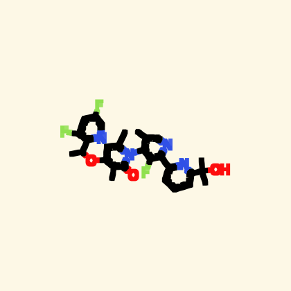 Cc1cnc(-c2cccc(C(C)(C)O)n2)c(F)c1-n1c(C)cc(OC(C)c2ncc(F)cc2F)c(C)c1=O